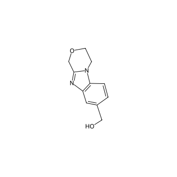 OCc1ccc2c(c1)nc1n2CCOC1